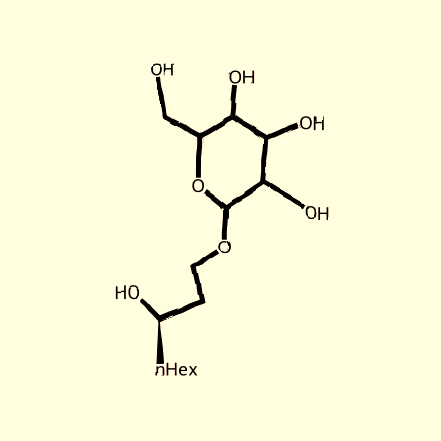 CCCCCC[C@@H](O)CCOC1OC(CO)C(O)C(O)C1O